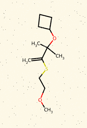 C=C(SCCOC)C(C)(C)OC1CCC1